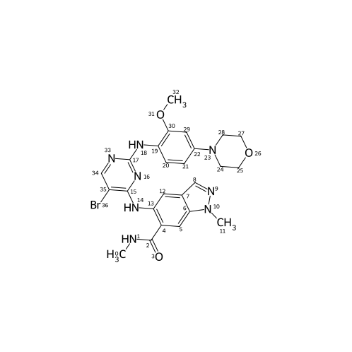 CNC(=O)c1cc2c(cnn2C)cc1Nc1nc(Nc2ccc(N3CCOCC3)cc2OC)ncc1Br